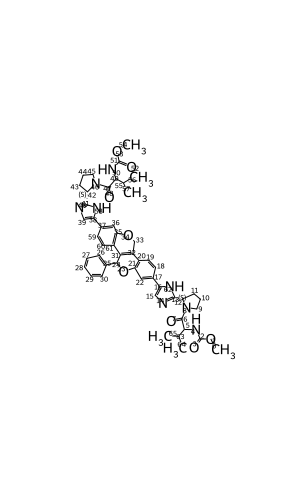 COC(=O)NC(C(=O)N1CCC[C@H]1c1ncc(-c2ccc3c(c2)OC(c2ccccc2)C2=C3COc3cc(-c4cnc([C@@H]5CCCN5C(=O)C(NC(=O)OC)C(C)C)[nH]4)ccc32)[nH]1)C(C)C